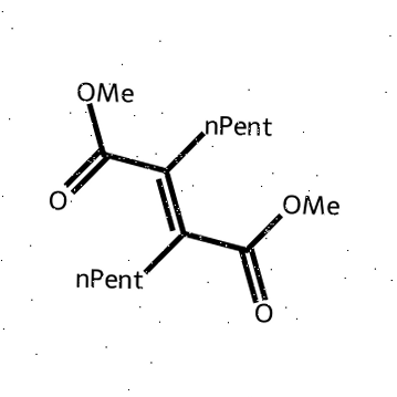 CCCCCC(C(=O)OC)=C(CCCCC)C(=O)OC